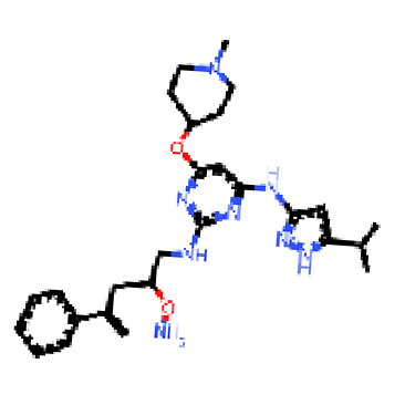 C=C(CC(CNc1nc(Nc2cc(C(C)C)[nH]n2)cc(OC2CCN(C)CC2)n1)ON)c1ccccc1